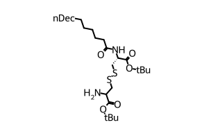 CCCCCCCCCCCCCCCC(=O)N[C@@H](CSSCC(N)C(=O)OC(C)(C)C)C(=O)OC(C)(C)C